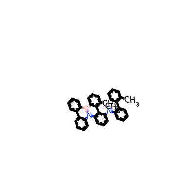 Cc1ccccc1-c1ccccc1N(C)c1cccc2c1-c1c(C)cccc1B1c3ccccc3-c3ccccc3N12